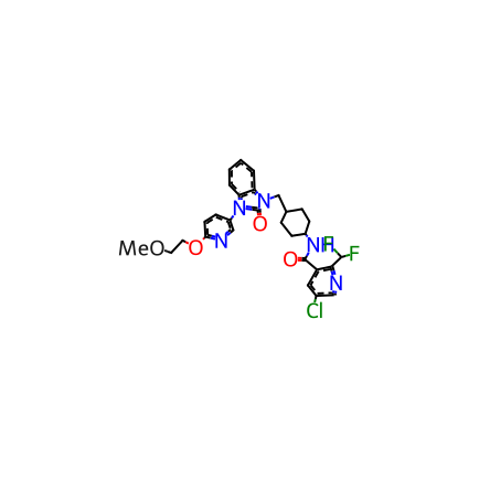 COCCOc1ccc(-n2c(=O)n(CC3CCC(NC(=O)c4cc(Cl)cnc4C(F)F)CC3)c3ccccc32)cn1